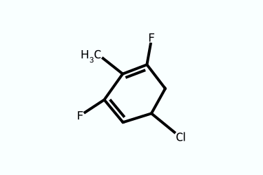 CC1=C(F)CC(Cl)C=C1F